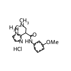 COc1cccc(NC(=O)C(CN(C)C)c2ncc[nH]2)c1.Cl